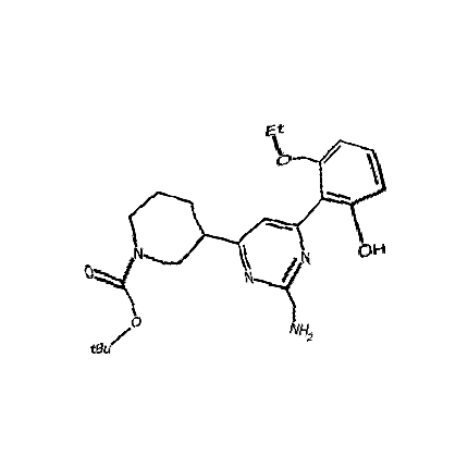 CCOc1cccc(O)c1-c1cc(C2CCCN(C(=O)OC(C)(C)C)C2)nc(N)n1